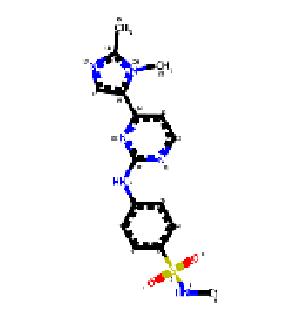 CCNS(=O)(=O)c1ccc(Nc2nccc(-c3cnc(C)n3C)n2)cc1